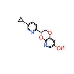 Oc1cnc2c(c1)OCC(c1ccc(C3CC3)cn1)O2